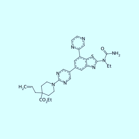 C=CCC1(C(=O)OCC)CCN(c2ncc(-c3cc(-c4cnccn4)c4sc(N(CC)C(N)=O)nc4c3)cn2)CC1